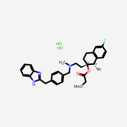 COCC(=O)O[C@]1(CCN(C)Cc2ccc(Cc3nc4ccccc4[nH]3)cc2)CCc2cc(F)ccc2[C@@H]1C(C)C.Cl.Cl